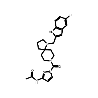 CC(=O)Nc1ccn(C(=O)N2CCC3(CCCN3Cc3cc4cc(Cl)ccc4[nH]3)CC2)n1